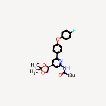 CC1(C)OC[C@H](c2cc(NC(=O)C(C)(C)C)nc(-c3ccc(Oc4ccc(F)cc4)cc3)c2)O1